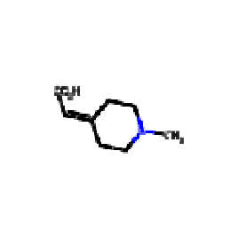 CN1CCC(=CC(=O)O)CC1